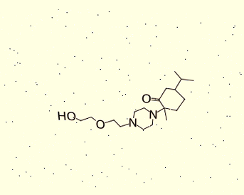 CC(C)C1CCC(C)(N2CCN(CCOCCO)CC2)C(=O)C1